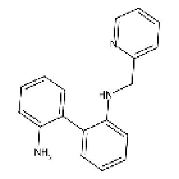 Nc1ccccc1-c1ccccc1NCc1ccccn1